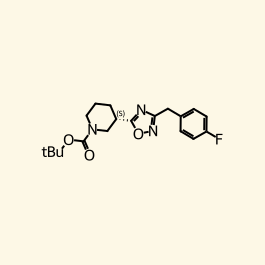 CC(C)(C)OC(=O)N1CCC[C@H](c2nc(Cc3ccc(F)cc3)no2)C1